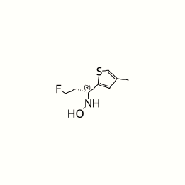 Cc1csc([C@@H](CCF)NO)c1